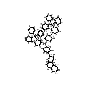 c1ccc(C2(c3ccccc3)c3ccccc3-c3ccc(N(c4ccc(-c5ccc6c(ccc7ccccc76)c5)cc4)c4ccc(-c5cccc6c5-c5ccccc5C6(c5ccccc5)c5ccccc5)cc4)cc32)cc1